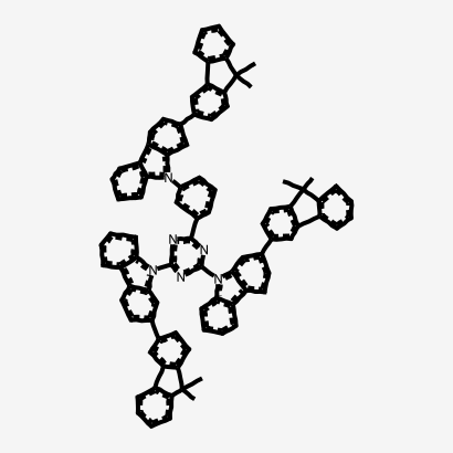 CC1(C)c2ccccc2-c2cc(-c3ccc4c5ccccc5n(-c5cccc(-c6nc(-n7c8ccccc8c8ccc(-c9ccc%10c(c9)-c9ccccc9C%10(C)C)cc87)nc(-n7c8ccccc8c8ccc(-c9ccc%10c(c9)-c9ccccc9C%10(C)C)cc87)n6)c5)c4c3)ccc21